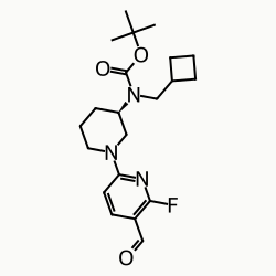 CC(C)(C)OC(=O)N(CC1CCC1)[C@@H]1CCCN(c2ccc(C=O)c(F)n2)C1